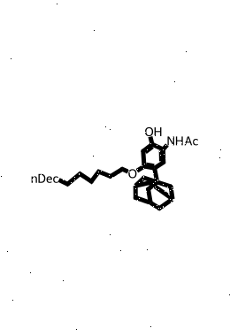 CCCCCCCCCCCCCCCCOc1cc(O)c(NC(C)=O)cc1C12CC3CC(CC(C3)C1)C2